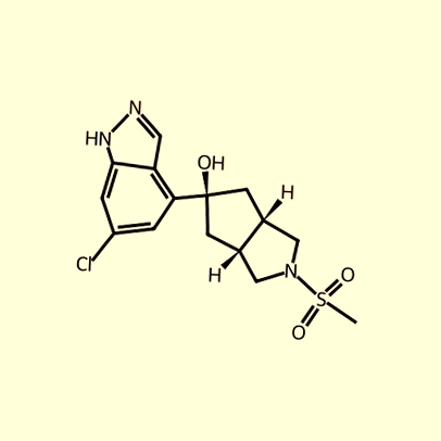 CS(=O)(=O)N1C[C@@H]2C[C@](O)(c3cc(Cl)cc4[nH]ncc34)C[C@@H]2C1